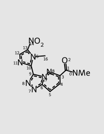 CNC(=O)c1ccc2nnc(-c3ncc([N+](=O)[O-])n3C)n2n1